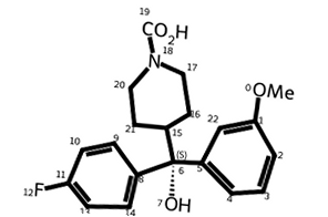 COc1cccc([C@@](O)(c2ccc(F)cc2)C2CCN(C(=O)O)CC2)c1